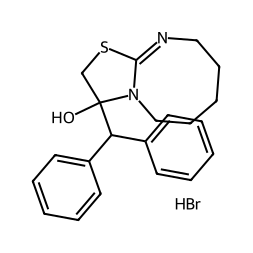 Br.OC1(C(c2ccccc2)c2ccccc2)CSC2=NCCCCCN21